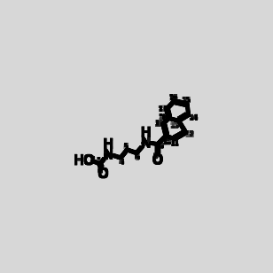 O=C(O)NCCCNC(=O)c1ccc2ccccc2c1